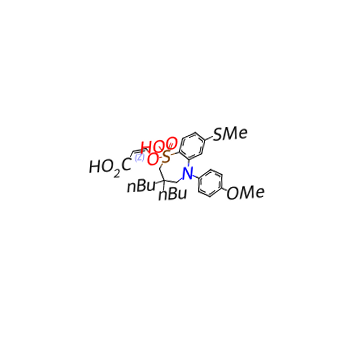 CCCCC1(CCCC)CN(c2ccc(OC)cc2)c2cc(SC)ccc2S(=O)(O)(O/C=C\C(=O)O)C1